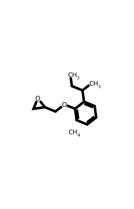 C.CCC(C)c1ccccc1OCC1CO1